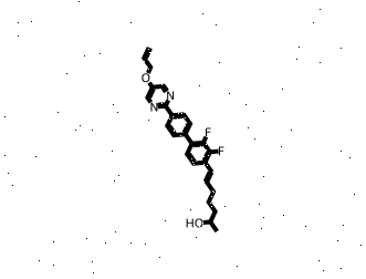 C=CCOc1cnc(-c2ccc(-c3ccc(/C=C/CCCC(C)O)c(F)c3F)cc2)nc1